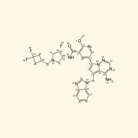 COc1ncc(-c2cc(Cn3cnc4ccccc43)c3c(N)ncnn23)cc1C(=O)N[C@@H]1CN(CC2CC(F)(F)C2)C[C@@H]1F